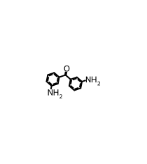 Nc1cccc(C(=O)c2cccc(N)c2)c1